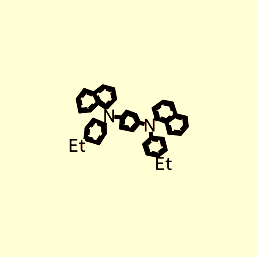 CCc1ccc(N(c2ccc(N(c3ccc(CC)cc3)c3cccc4ccccc34)cc2)c2cccc3ccccc23)cc1